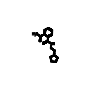 CC(=O)c1ccccc1C(=O)NCCN1CCCC1